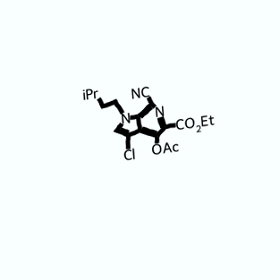 CCOC(=O)c1nc(C#N)c2c(c(Cl)cn2CCC(C)C)c1OC(C)=O